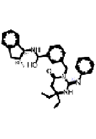 CCC1(CC)CC(=O)N(Cc2cccc(C(O)N[C@@H]3c4ccccc4C[C@H]3C)c2)/C(=N\c2ccccc2)N1